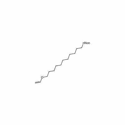 C=COCCCCCCCCCCCCCCCCCCCC